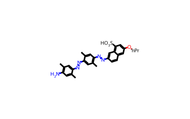 CCCOc1cc(S(=O)(=O)O)c2cc(N=Nc3cc(C)c(N=Nc4cc(C)c(N)cc4C)cc3C)ccc2c1